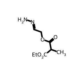 CCOC(=O)C(C)C(=O)OCC=NN